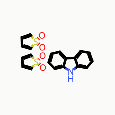 O=S1(=O)C=CC=C1.O=S1(=O)C=CC=C1.c1ccc2c(c1)[nH]c1ccccc12